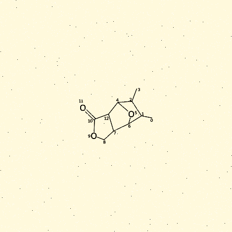 CC1C(C)C2OC1C1COC(=O)C12